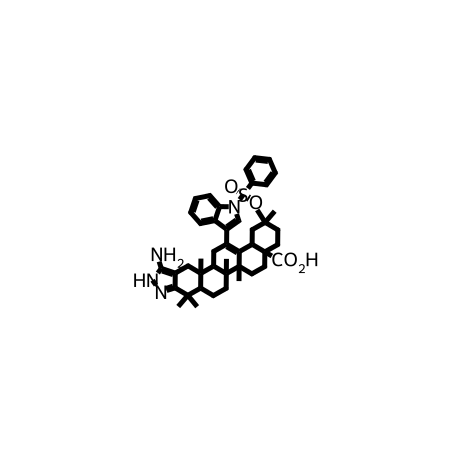 CC1(C)CCC2(C(=O)O)CCC3(C)C(=C(c4cn(S(=O)(=O)c5ccccc5)c5ccccc45)CC4C5(C)Cc6c(n[nH]c6N)C(C)(C)C5CCC43C)C2C1